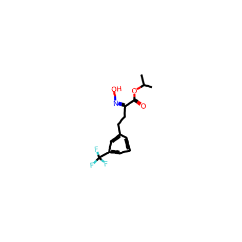 CC(C)OC(=O)C(CCc1cccc(C(F)(F)F)c1)=NO